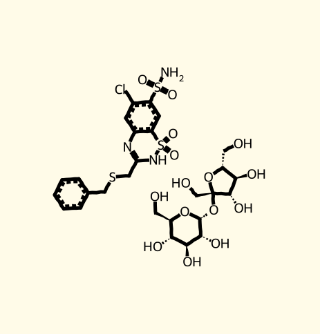 NS(=O)(=O)c1cc2c(cc1Cl)N=C(CSCc1ccccc1)NS2(=O)=O.OC[C@H]1O[C@@](CO)(O[C@H]2O[C@H](CO)[C@@H](O)[C@H](O)[C@H]2O)[C@@H](O)[C@@H]1O